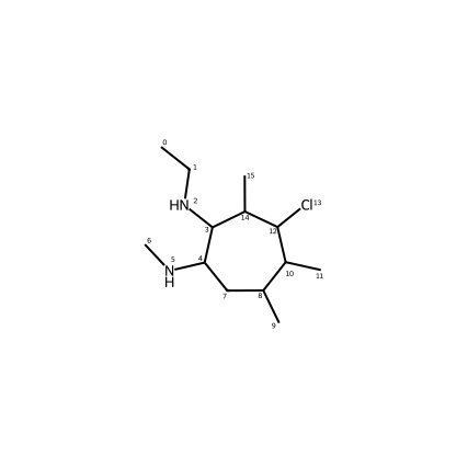 CCNC1C(NC)CC(C)C(C)C(Cl)C1C